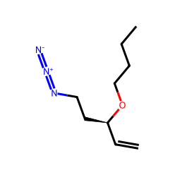 C=C[C@@H](CCN=[N+]=[N-])OCCCC